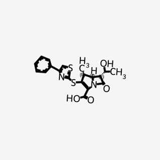 CC(O)[C@@H]1C(=O)N2C(C(=O)O)=C(Sc3nc(-c4ccccc4)cs3)[C@H](C)[C@@H]12